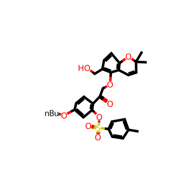 CCCCOc1ccc(C(=O)COc2c(CO)ccc3c2C=CC(C)(C)O3)c(OS(=O)(=O)c2ccc(C)cc2)c1